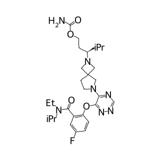 CCN(C(=O)c1cc(F)ccc1Oc1nncnc1N1CCC2(C1)CN([C@@H](CCOC(N)=O)C(C)C)C2)C(C)C